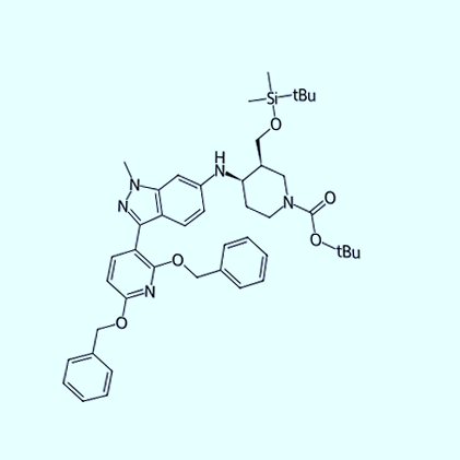 Cn1nc(-c2ccc(OCc3ccccc3)nc2OCc2ccccc2)c2ccc(N[C@@H]3CCN(C(=O)OC(C)(C)C)C[C@@H]3CO[Si](C)(C)C(C)(C)C)cc21